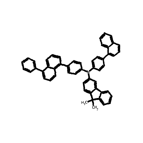 CC1(C)c2ccccc2-c2cc(N(c3ccc(-c4cccc5ccccc45)cc3)c3ccc(-c4cccc5c(-c6ccccc6)cccc45)cc3)ccc21